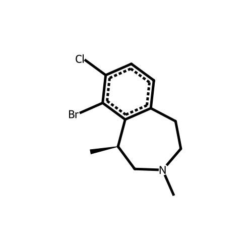 C[C@@H]1CN(C)CCc2ccc(Cl)c(Br)c21